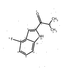 CC(C)C(=O)c1cc2c(F)cccc2[nH]1